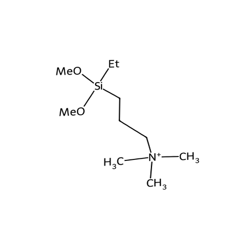 CC[Si](CCC[N+](C)(C)C)(OC)OC